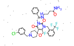 NC(=O)CCCN[C@H](Cn1c(=O)c2c(n(Cc3c(F)cccc3C(F)(F)F)c1=O)COC21CCN(Cc2cccc(Cl)c2)CC1)c1ccccc1